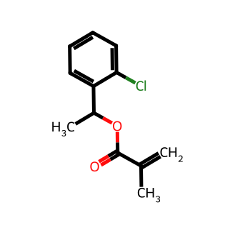 C=C(C)C(=O)OC(C)c1ccccc1Cl